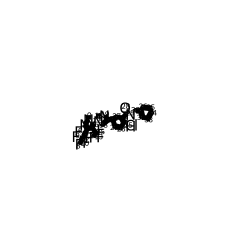 Cn1nc(C(F)(F)C(F)(F)F)c(C(F)(F)F)c1-n1cnc(-c2ccc(Cl)c(C(=O)NCc3ccccc3)c2)c1